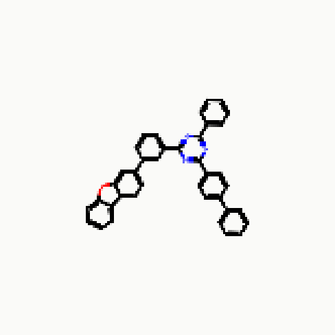 c1ccc(-c2ccc(-c3nc(-c4ccccc4)nc(-c4cccc(-c5ccc6c(c5)oc5ccccc56)c4)n3)cc2)cc1